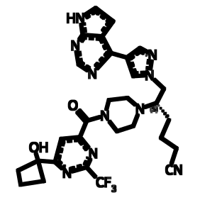 N#CCCC[C@@H](Cn1cc(-c2ncnc3[nH]ccc23)cn1)N1CCN(C(=O)c2cc(C3(O)CCC3)nc(C(F)(F)F)n2)CC1